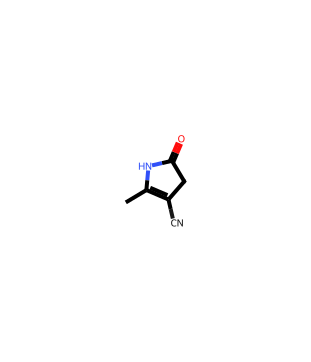 CC1=C(C#N)CC(=O)N1